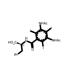 CC(=O)Nc1c(I)c(NC(C)=O)c(I)c(C(=O)N[C@@H](CC(C)C)C(=O)O)c1I